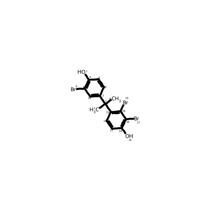 CC(C)(c1ccc(O)c(Br)c1)c1ccc(O)c(Br)c1Br